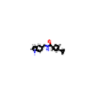 O=C(NCc1ccc2[nH]ccc2c1)c1ccc(C2CC2)cc1